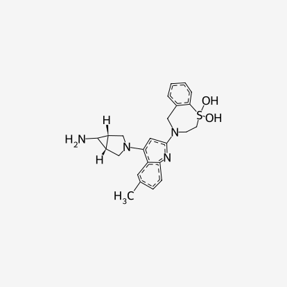 Cc1ccc2nc(N3CCS(O)(O)c4ccccc4C3)cc(N3C[C@@H]4C(N)[C@@H]4C3)c2c1